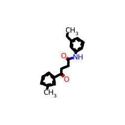 CCc1cccc(NC(=O)CCC(=O)c2cccc(C)c2)c1